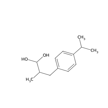 CC(C)c1ccc(CC(C)C(O)O)cc1